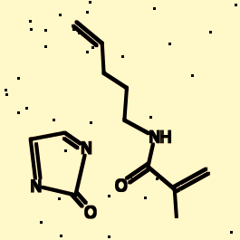 C=CCCCNC(=O)C(=C)C.O=C1N=CC=N1